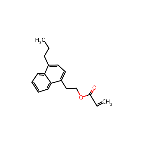 C=CC(=O)OCCc1ccc(CCC)c2ccccc12